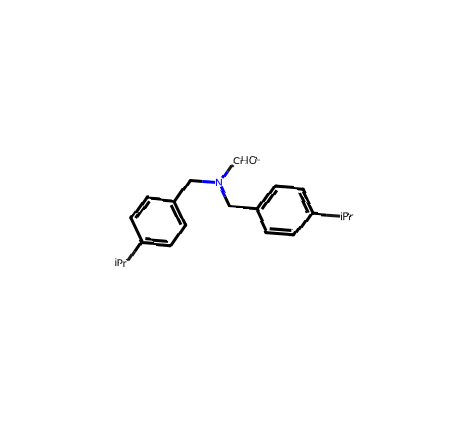 CC(C)c1ccc(CN([C]=O)Cc2ccc(C(C)C)cc2)cc1